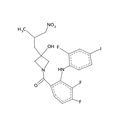 CC(C[N+](=O)[O-])CC1(O)CN(C(=O)c2ccc(F)c(F)c2Nc2ccc(I)cc2F)C1